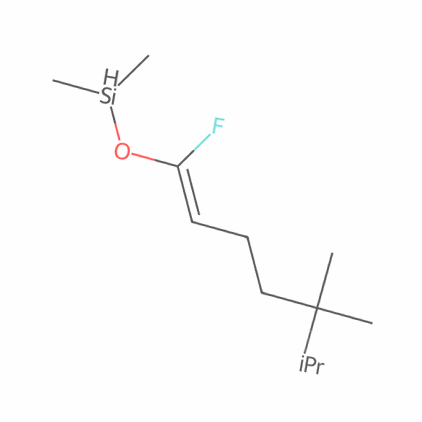 CC(C)C(C)(C)CCC=C(F)O[SiH](C)C